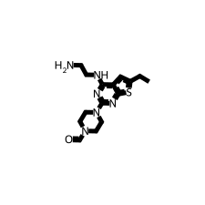 CCc1cc2c(NCCN)nc(N3CCN(C=O)CC3)nc2s1